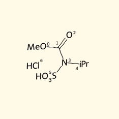 COC(=O)N(C(C)C)S(=O)(=O)O.Cl